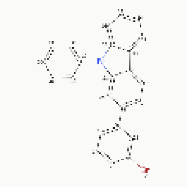 Brc1cccc(-c2ccc3c4ccccc4n(-c4ccccc4)c3c2)c1